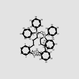 COc1ccccc1CCC[Si](O[Si](CCCc1ccccc1OC(C)=O)(c1ccccc1)c1ccccc1)(c1ccccc1)c1ccccc1